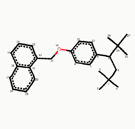 CC(C)(C)CC(c1ccc(OCc2cccc3ccccc23)cc1)C(C)(C)C